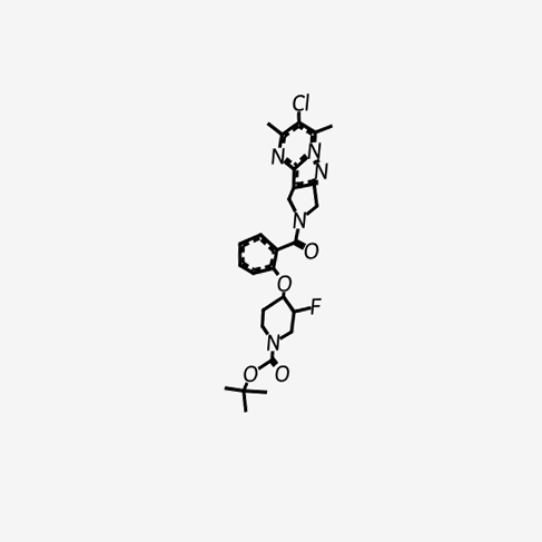 Cc1nc2c3c(nn2c(C)c1Cl)CN(C(=O)c1ccccc1OC1CCN(C(=O)OC(C)(C)C)CC1F)C3